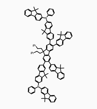 CC(C)CCC1(CCC(C)C)c2cc(-c3ccc4c(c3)C(C)(C)c3cc(N(c5ccccc5)c5ccc6c(c5)C(C)(C)c5ccccc5-6)ccc3-4)c(-c3ccc4c(c3)C(C)(C)c3ccccc3-4)cc2-c2cc(-c3ccc4c(c3)C(C)(C)c3ccccc3-4)c(-c3ccc4c(c3)C(C)(C)c3cc(N(c5ccccc5)c5ccc6c(c5)C(C)(C)c5ccccc5-6)ccc3-4)cc21